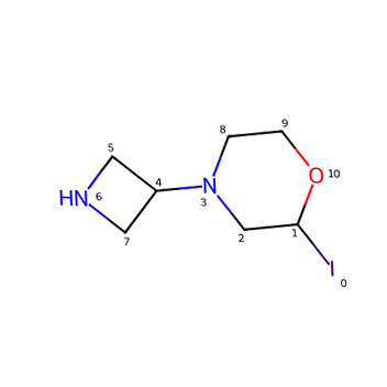 IC1CN(C2CNC2)CCO1